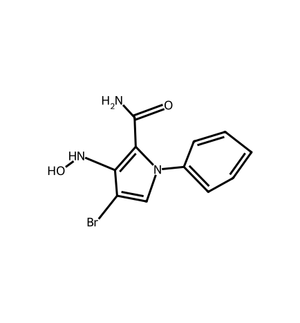 NC(=O)c1c(NO)c(Br)cn1-c1ccccc1